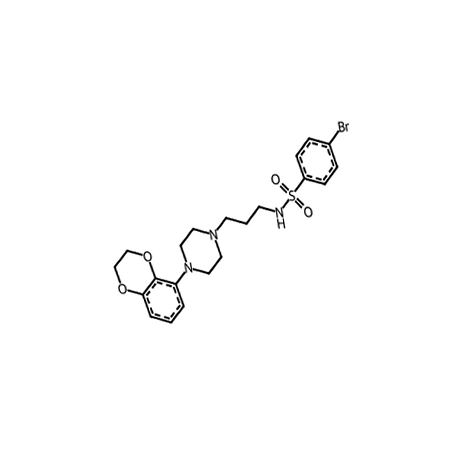 O=S(=O)(NCCCN1CCN(c2cccc3c2OCCO3)CC1)c1ccc(Br)cc1